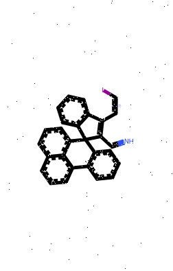 N=CC1=C(/C=C\I)c2ccccc2C12c1ccccc1-c1cccc3cccc2c13